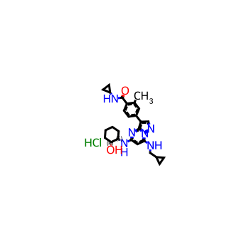 Cc1cc(-c2cnn3c(NCC4CC4)cc(N[C@H]4CCCC[C@H]4O)nc23)ccc1C(=O)NC1CC1.Cl